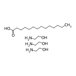 CCCCCCCCCCCCCC(=O)O.NCCO.NCCO.NCCO